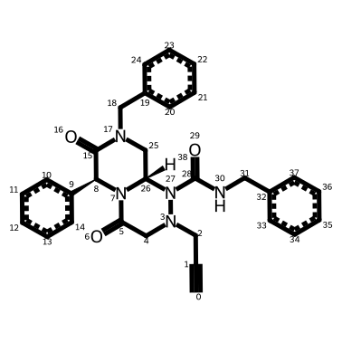 C#CCN1CC(=O)N2[C@@H](c3ccccc3)C(=O)N(Cc3ccccc3)C[C@@H]2N1C(=O)NCc1ccccc1